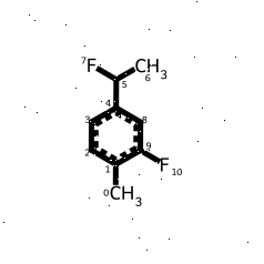 Cc1ccc(C(C)F)cc1F